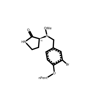 CCCCCOc1ccc(CN(OC)[C@H]2CCNC2=O)cc1Br